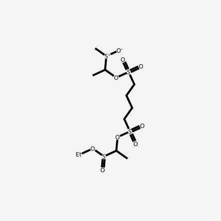 CCOS(=O)C(C)OS(=O)(=O)CCCCS(=O)(=O)OC(C)[S+](C)[O-]